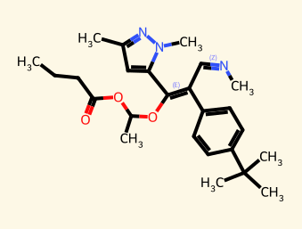 CCCC(=O)OC(C)O/C(=C(/C=N\C)c1ccc(C(C)(C)C)cc1)c1cc(C)nn1C